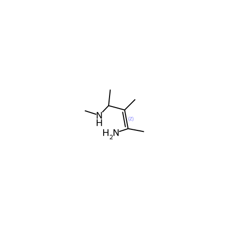 CNC(C)/C(C)=C(/C)N